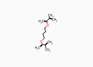 C=C(C)C(=C)OCCCCOC(=C)C(=C)C